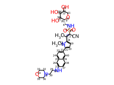 C/C(=C(/C#N)S(=O)(=O)NC[C@H]1OC[C@H](O)[C@@H](O)[C@@H]1O)c1ccc(-c2ccc3cc(NCCN4CCOCC4)ccc3c2)n1C